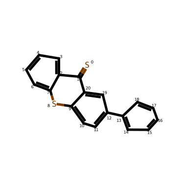 S=c1c2ccccc2sc2ccc(-c3ccccc3)cc12